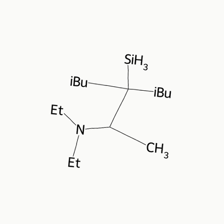 CCC(C)C([SiH3])(C(C)CC)C(C)N(CC)CC